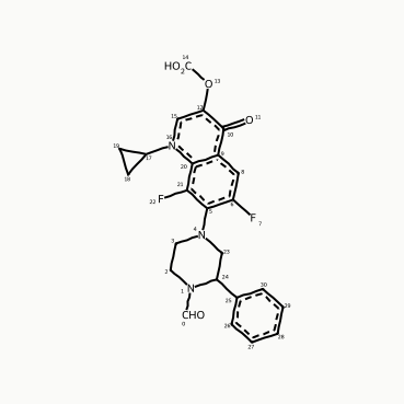 O=CN1CCN(c2c(F)cc3c(=O)c(OC(=O)O)cn(C4CC4)c3c2F)CC1c1ccccc1